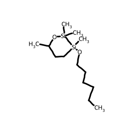 CCCCCCO[Si]1(C)CCC(C)O[Si]1(C)C